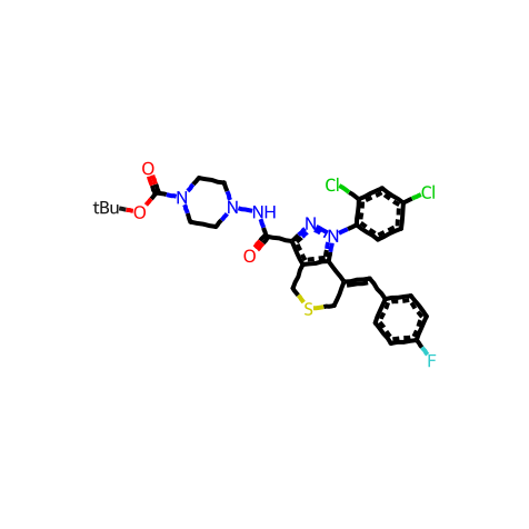 CC(C)(C)OC(=O)N1CCN(NC(=O)c2nn(-c3ccc(Cl)cc3Cl)c3c2CSCC3=Cc2ccc(F)cc2)CC1